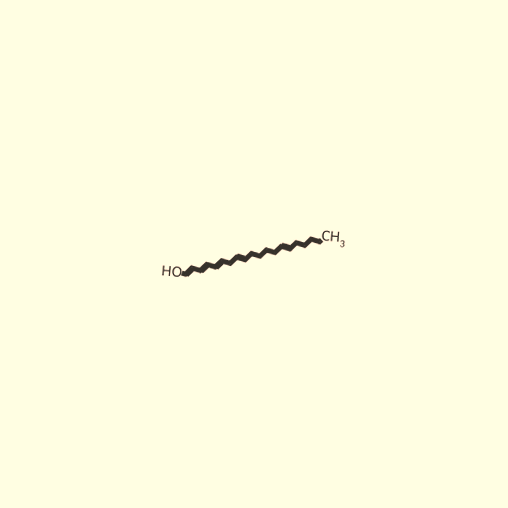 CCCCCC=CCCCCC=CCC=CC=CC=CO